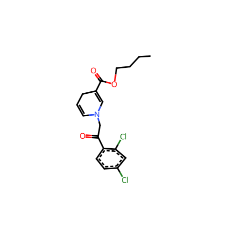 CCCCOC(=O)C1=CN(CC(=O)c2ccc(Cl)cc2Cl)C=CC1